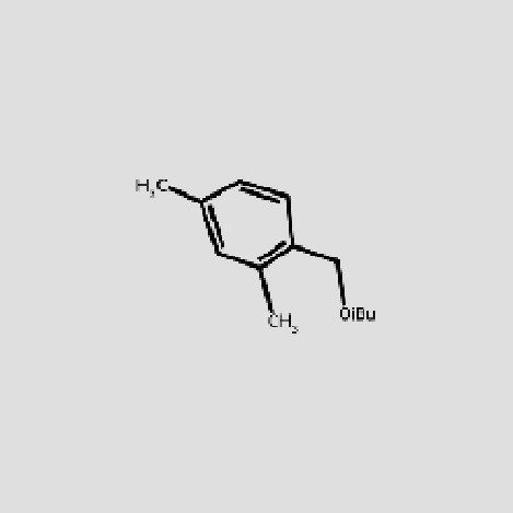 Cc1ccc(COCC(C)C)c(C)c1